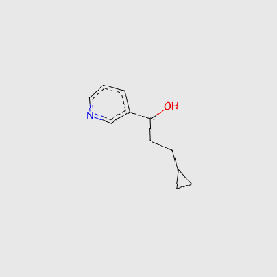 O[C](CCC1CC1)c1cccnc1